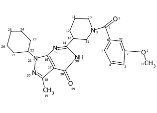 COc1cccc(C(=O)N2CCCC(c3nc4c(c(C)nn4C4CCCCC4)c(=O)[nH]3)C2)c1